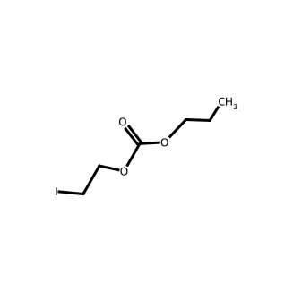 CCCOC(=O)OCCI